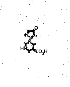 O=C1C=NN(N2CNCC(C(=O)O)C2)C1